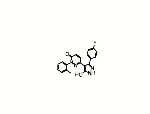 Cc1ccccc1-n1nc(-c2c(-c3ccc(F)cc3)n[nH]c2O)ccc1=O